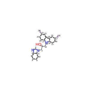 OC(Cn1cnc2ccccc21)Cn1c2ccc(I)cc2c2cc(I)ccc21